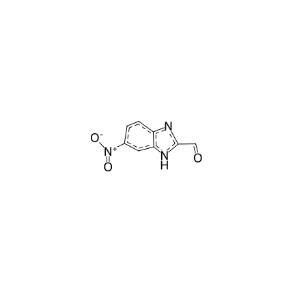 O=Cc1nc2ccc([N+](=O)[O-])cc2[nH]1